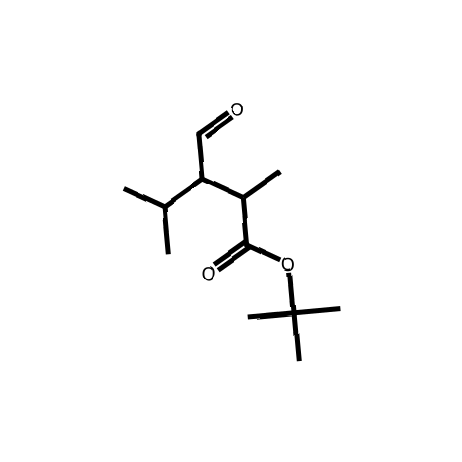 CC(C)C(C=O)C(C)C(=O)OC(C)(C)C